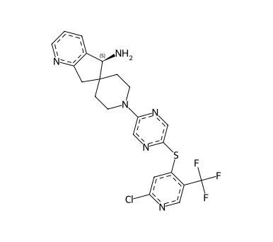 N[C@@H]1c2cccnc2CC12CCN(c1cnc(Sc3cc(Cl)ncc3C(F)(F)F)cn1)CC2